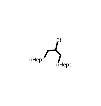 [CH2]CC(CCCCCCCC)CCCCCCCC